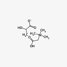 CC(O)C(=O)[O-].C[N+](C)(C)CC(=O)O